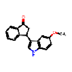 COc1ccc2[nH]cc(C3CC(=O)c4ccccc43)c2c1